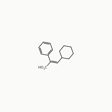 O=C(O)C(=CC1CCCCC1)c1ccccc1